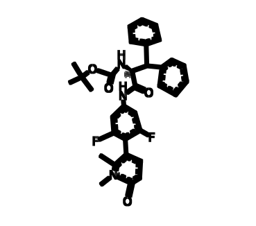 Cc1c(-c2c(F)cc(NC(=O)[C@@H](NC(=O)OC(C)(C)C)C(c3ccccc3)c3ccccc3)cc2F)ccc(=O)n1C